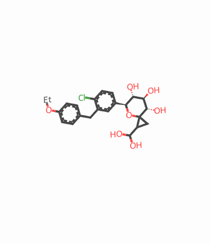 CCOc1ccc(Cc2cc([C@@H]3OC4(CC4C(O)O)[C@@H](O)[C@H](O)[C@H]3O)ccc2Cl)cc1